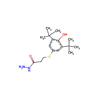 CC(C)(C)c1cc(SCCC(=O)NN)cc(C(C)(C)C)c1O